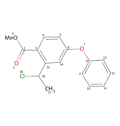 COC(=O)c1ccc(Oc2ccccc2)cc1C(C)Cl